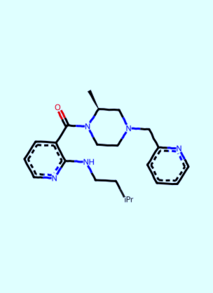 CC(C)CCNc1ncccc1C(=O)N1CCN(Cc2ccccn2)C[C@@H]1C